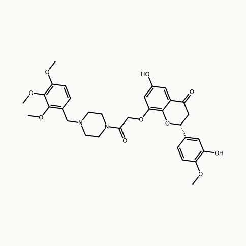 COc1ccc([C@H]2CC(=O)c3cc(O)cc(OCC(=O)N4CCN(Cc5ccc(OC)c(OC)c5OC)CC4)c3O2)cc1O